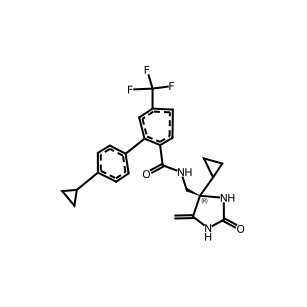 C=C1NC(=O)N[C@@]1(CNC(=O)c1ccc(C(F)(F)F)cc1-c1ccc(C2CC2)cc1)C1CC1